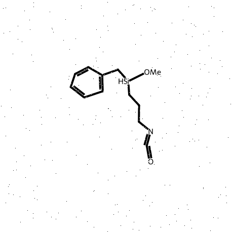 CO[SiH](CCCN=C=O)Cc1ccccc1